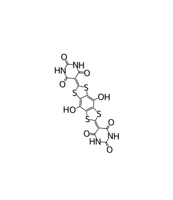 O=C1NC(=O)C(=C2Sc3c(O)c4c(c(O)c3S2)SC(=C2C(=O)NC(=O)NC2=O)S4)C(=O)N1